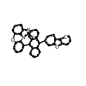 CCc1nc2cccc3c2n1-c1c(cccc1-c1c2ccccc2c(-c2ccc4c(c2)oc2ccccc24)c2ccccc12)O3